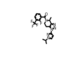 CC1c2nnn(-c3ccn(C(C)C)n3)c2CCN1C(=O)c1cccc(C(F)(F)F)c1F